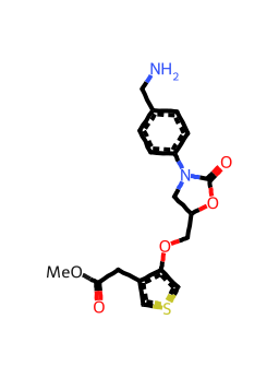 COC(=O)Cc1cscc1OCC1CN(c2ccc(CN)cc2)C(=O)O1